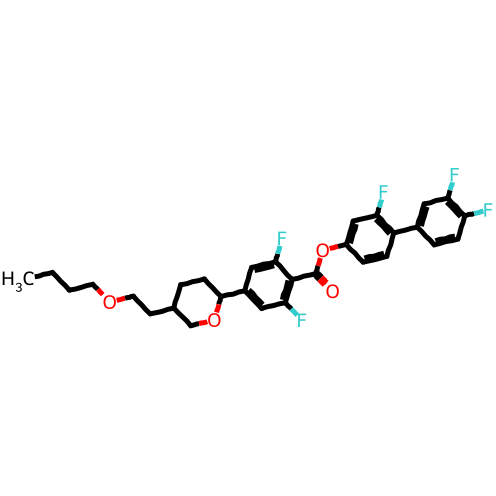 CCCCOCCC1CCC(c2cc(F)c(C(=O)Oc3ccc(-c4ccc(F)c(F)c4)c(F)c3)c(F)c2)OC1